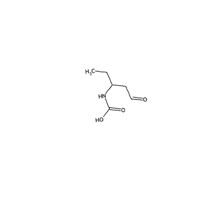 CCC(CC=O)NC(=O)O